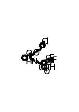 O=C1COc2c(CCNCCN(C(=O)CCOCCc3ccc(Cl)cc3)C3CCCCC3)ccc(OC(=O)C(F)(F)F)c2N1